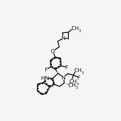 CC1CN(CCOc2cc(F)c([C@@H]3c4[nH]c5ccccc5c4C[C@@H](C)N3CC(C)(C)F)c(F)c2)C1